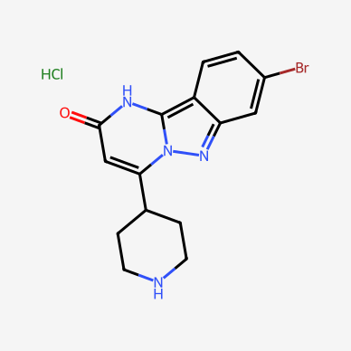 Cl.O=c1cc(C2CCNCC2)n2nc3cc(Br)ccc3c2[nH]1